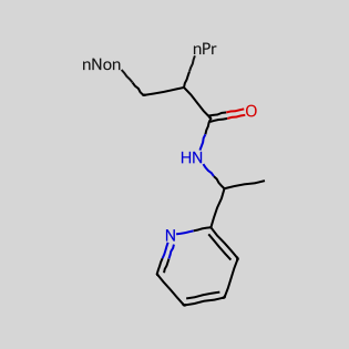 CCCCCCCCCCC(CCC)C(=O)NC(C)c1ccccn1